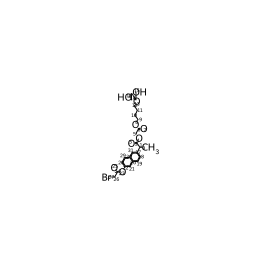 CC(C(=O)OCC(=O)OCCCCON(O)O)c1ccc2cc(OC(=O)CBr)ccc2c1